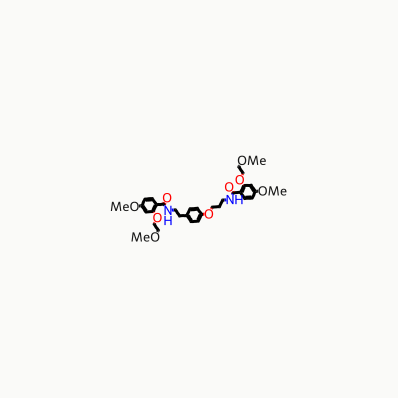 COCCOc1cc(OC)ccc1C(=O)NCCCOc1ccc(CCNC(=O)c2ccc(OC)cc2OCCOC)cc1